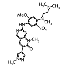 COc1cc(N(C)CCN(C)C)c([N+](=O)[O-])cc1Nc1ncc2cc(-c3cnn(C)c3)c(=O)n(C)c2n1